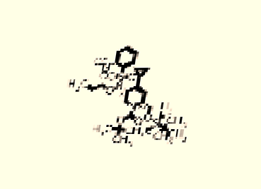 C=CCON([C@H]1CN(C(=O)OC(C)(C)C)[C@H](CO[Si](C)(C)C(C)(C)C)C=C1C1CC1)S(=O)(=O)c1ccccc1[N+](=O)[O-]